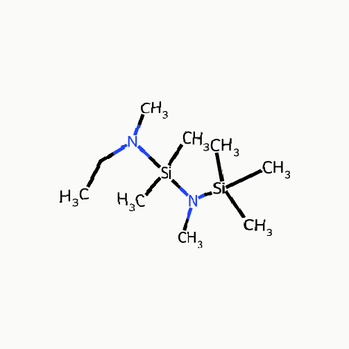 CCN(C)[Si](C)(C)N(C)[Si](C)(C)C